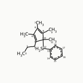 CCCC1=C(C)C(C)=C(C)C1(C)[SiH2]c1ccccc1